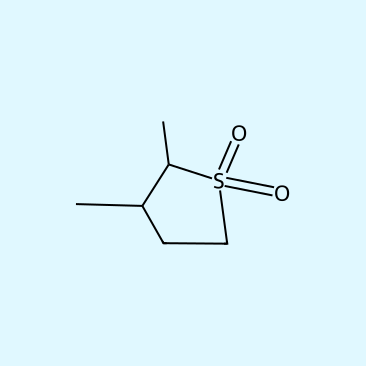 CC1CCS(=O)(=O)C1C